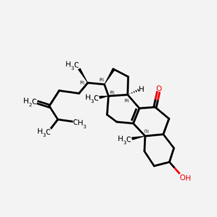 C=C(CC[C@@H](C)[C@H]1CC[C@H]2C3=C(CC[C@]12C)[C@@]1(C)CCC(O)CC1CC3=O)C(C)C